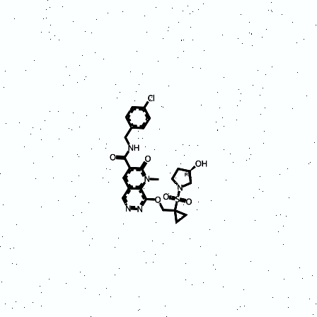 Cn1c(=O)c(C(=O)NCc2ccc(Cl)cc2)cc2cnnc(OCC3(S(=O)(=O)N4CC[C@@H](O)C4)CC3)c21